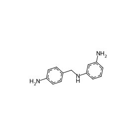 Nc1ccc(CNc2cccc(N)c2)cc1